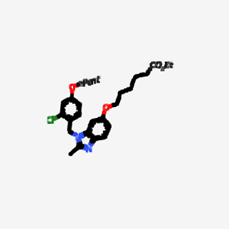 CCCCCOc1ccc(Cn2c(C)nc3ccc(OCCCCCC(=O)OCC)cc32)c(Cl)c1